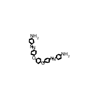 Nc1ccc(/N=N/c2ccc(Oc3ccc(Oc4ccc(/N=N/c5ccc(N)cc5)cc4)cc3)cc2)cc1